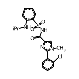 CC(C)Nc1ccccc1S(=O)(=O)NC(=O)c1cn(C)c(-c2ccccc2Cl)n1